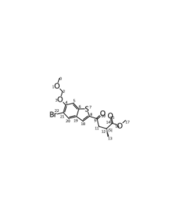 COCOc1cc2sc(C(=O)C[C@H](C)C(=O)OC)cc2cc1Br